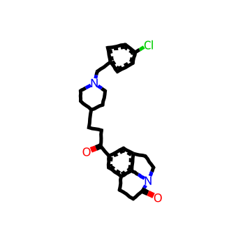 O=C(CCC1CCN(Cc2ccc(Cl)cc2)CC1)c1cc2c3c(c1)CCN3C(=O)CC2